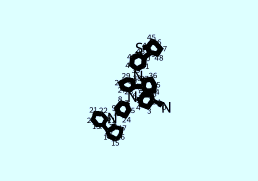 N#Cc1ccc(N(c2ccc(N3C4=C(C=CCC4)C4C=CC=CC43)cc2)c2cccc3c2c2ccccc2n3-c2ccc3sc4ccccc4c3c2)cc1